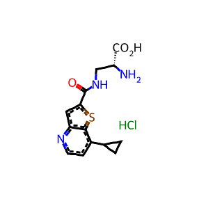 Cl.N[C@H](CNC(=O)c1cc2nccc(C3CC3)c2s1)C(=O)O